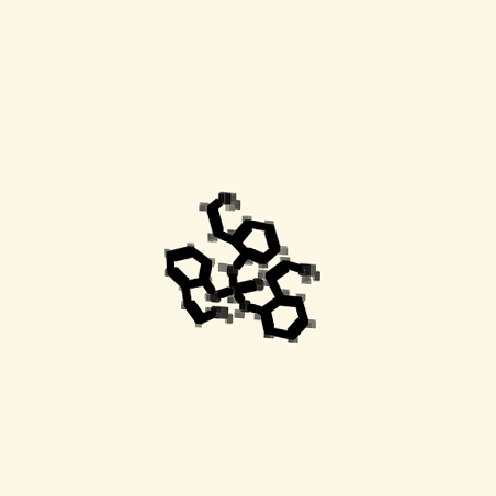 C/C=C\c1ccccc1OP(=O)(Oc1ccccc1/C=C\C)Oc1ccccc1/C=C\C